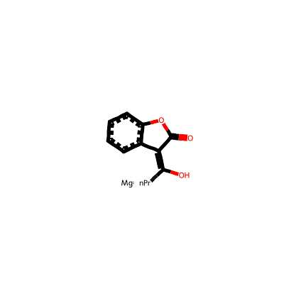 CCC/C(O)=C1/C(=O)Oc2ccccc21.[Mg]